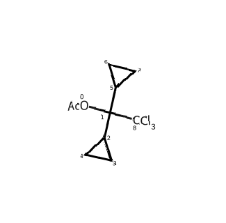 CC(=O)OC(C1CC1)(C1CC1)C(Cl)(Cl)Cl